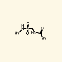 CC(C)NS(=O)(=O)CNC(=O)C(C)C